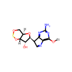 CCOc1nc(N)nc2c1N=CC2[C@@H]1O[C@@H]2COSO[C@H]2[C@H]1O